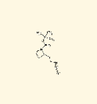 CC(C)(C)OC(=O)N1CC=CC1CCN=[N+]=[N-]